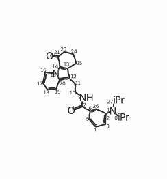 CC(C)N(c1cccc(C(=O)NCCc2c3c(n4ccccc24)C(=O)CCC3)c1)C(C)C